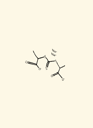 CC(SC(=S)SC(C)C(=O)[O-])C(=O)[O-].[Na+].[Na+]